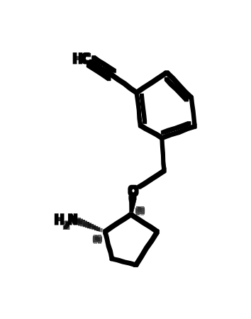 C#Cc1cccc(CO[C@H]2CCC[C@@H]2N)c1